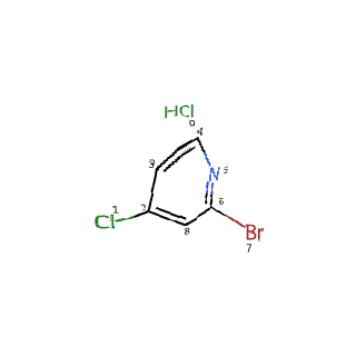 Cl.Clc1ccnc(Br)c1